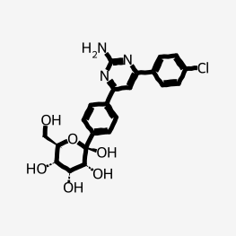 Nc1nc(-c2ccc(Cl)cc2)cc(-c2ccc([C@@]3(O)O[C@H](CO)[C@@H](O)[C@@H](O)[C@H]3O)cc2)n1